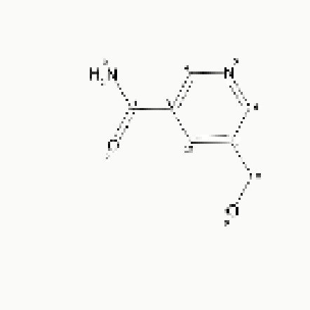 NC(=O)c1cncc(C[O])c1